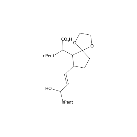 CCCCCC(O)/C=C/C1CCC2(OCCO2)C1C(CCCCC)C(=O)O